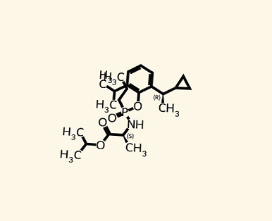 CCCP(=O)(N[C@@H](C)C(=O)OC(C)C)Oc1c(C(C)C)cccc1[C@H](C)C1CC1